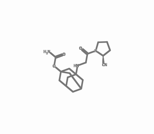 N#C[C@@H]1CCCN1C(=O)CNC12CC3CC(C1)CC(OC(N)=O)(C3)C2